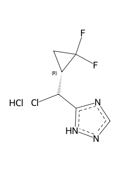 Cl.FC1(F)C[C@H]1C(Cl)c1ncn[nH]1